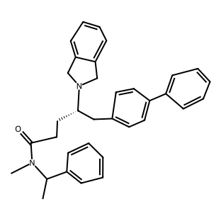 CC(c1ccccc1)N(C)C(=O)CC[C@@H](Cc1ccc(-c2ccccc2)cc1)N1Cc2ccccc2C1